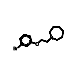 Brc1cccc(OCCN2CCCCCC2)c1